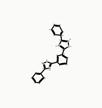 c1ccc(-c2nsc(-c3cccc(-c4nc(-c5ccccc5)ns4)c3)n2)cc1